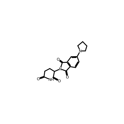 O=C1CCC(N2C(=O)c3ccc(N4CCCC4)cc3C2=O)C(=O)N1